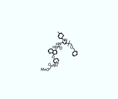 COCC(=O)Nc1cc(Oc2ccc(NC(=O)Nc3cc(C(C)(C)COCc4ccccc4)nn3-c3ccc(C)cc3)c3ccccc23)ccn1